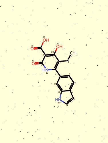 CCc1c(-c2ccc3cc[nH]c3c2)[nH]c(=O)c(C(=O)O)c1O